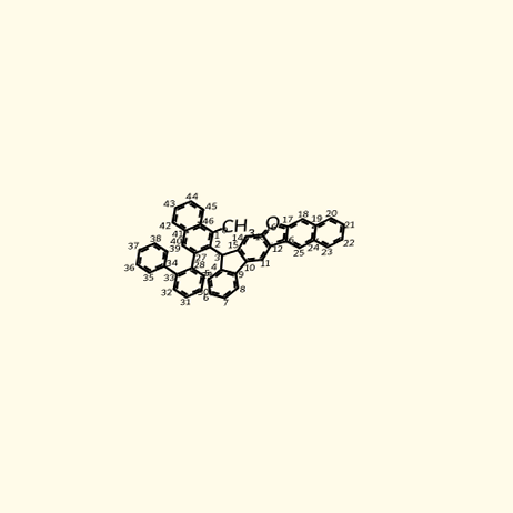 Cc1c(C2c3ccccc3-c3cc4c(cc32)oc2cc3ccccc3cc24)c(-c2ccccc2-c2ccccc2)cc2ccccc12